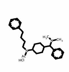 CC(=O)N(CCCCc1ccccc1)C1CCC(C(c2ccccc2)N(C)C)CC1.Cl